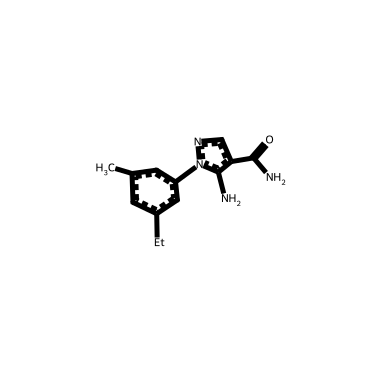 CCc1cc(C)cc(-n2ncc(C(N)=O)c2N)c1